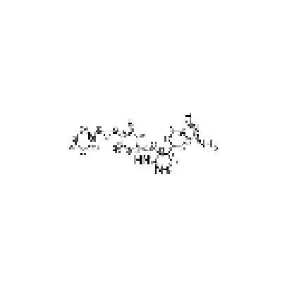 Nc1n[nH]c2ccc(-c3ccnc4[nH]c(-c5cc(F)c(CCCN6CCCCC6)c(F)c5)cc34)cc12